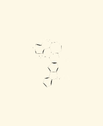 COc1cncc(OC)c1C1CCCCC(C=O)N1Cc1ccc2c(c1)c1ccccc1n2C